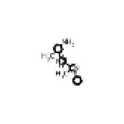 Cc1ccc(N)cc1-n1cc(-c2cnn(-c3ccccc3)c2C)nn1